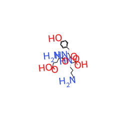 NCCCC[C@H](NC(=O)[C@@H](Cc1ccc(O)cc1)NC(=O)[C@H](N)CCC(=O)O)C(=O)O